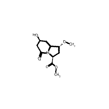 COC(=O)[C@@H]1C[C@@H](OC)C2CC(O)CC(=O)N21